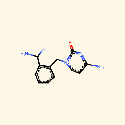 Nc1ccn(Cc2ccccc2C(N)N)c(=O)n1